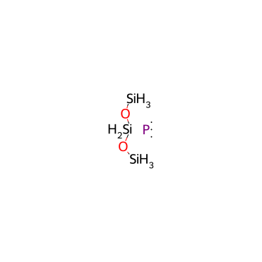 [P].[SiH3]O[SiH2]O[SiH3]